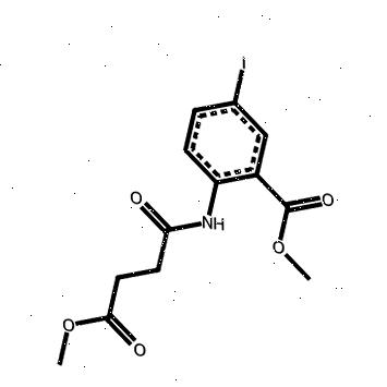 COC(=O)CCC(=O)Nc1ccc(I)cc1C(=O)OC